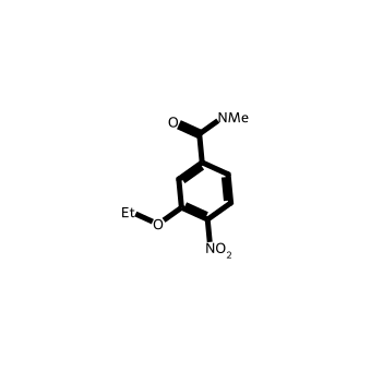 CCOc1cc(C(=O)NC)ccc1[N+](=O)[O-]